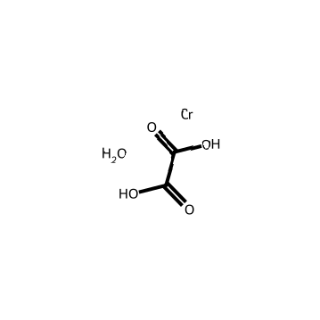 O.O=C(O)C(=O)O.[Cr]